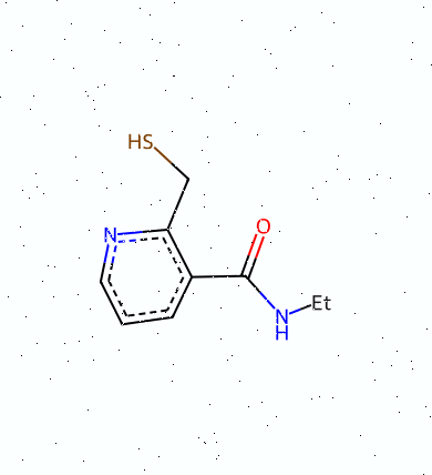 CCNC(=O)c1cccnc1CS